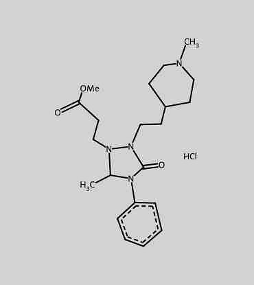 COC(=O)CCN1C(C)N(c2ccccc2)C(=O)N1CCC1CCN(C)CC1.Cl